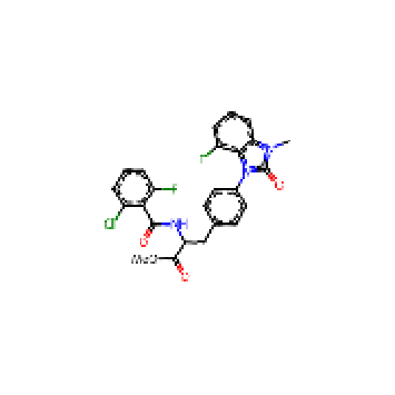 COC(=O)C(Cc1ccc(-n2c(=O)n(C)c3cccc(F)c32)cc1)NC(=O)c1c(F)cccc1Cl